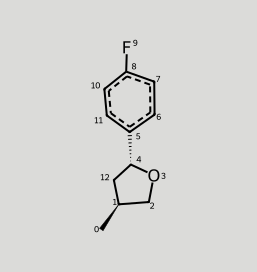 C[C@@H]1CO[C@@H](c2ccc(F)cc2)C1